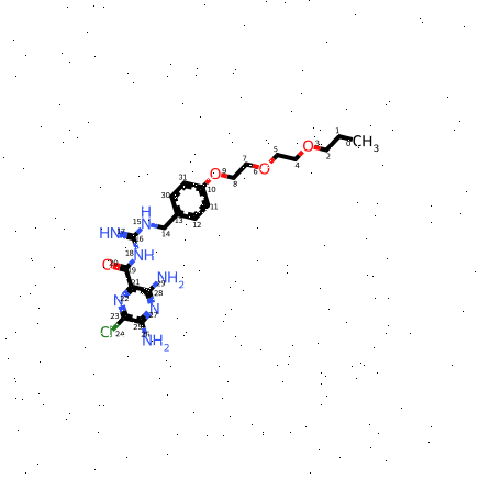 CCCOCCOCCOc1ccc(CNC(=N)NC(=O)c2nc(Cl)c(N)nc2N)cc1